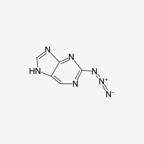 [N-]=[N+]=Nc1ncc2[nH]cnc2n1